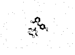 CCOC(C)OCC.COc1ccc(CN2C=CC=CC2C=O)cc1.ClCCCl